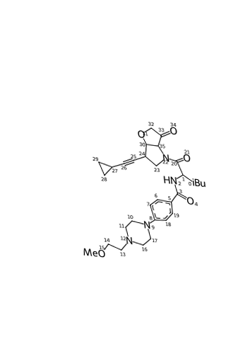 CCC(C)C(NC(=O)c1ccc(N2CCN(CCOC)CC2)cc1)C(=O)N1CC(C#CC2CC2)C2OCC(=O)C21